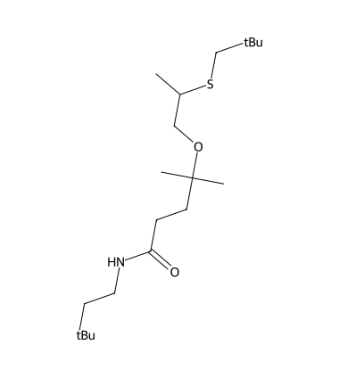 CC(COC(C)(C)CCC(=O)NCCC(C)(C)C)SCC(C)(C)C